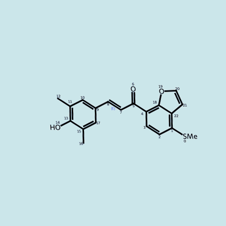 CSc1ccc(C(=O)/C=C/c2cc(C)c(O)c(C)c2)c2occc12